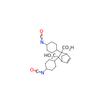 O=C=NC1CCC(C2(C(=O)O)C3C=CC(C3)C2(C(=O)O)C2CCC(N=C=O)CC2)CC1